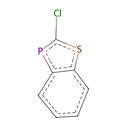 Clc1pc2ccccc2s1